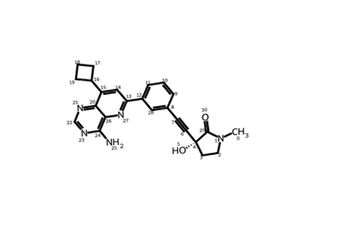 CN1CC[C@@](O)(C#Cc2cccc(-c3cc(C4CCC4)c4ncnc(N)c4n3)c2)C1=O